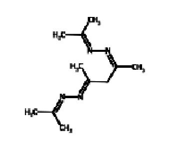 CC(C)=N/N=C(/C)C/C(C)=N/N=C(C)C